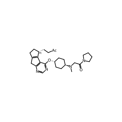 CC(=O)CC[C@H]1CCC2=C1c1c(ncnc1O[C@H]1CC[C@H](N(C)CC(=O)N3CCCC3)CC1)C2